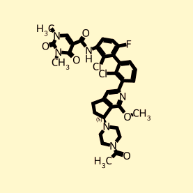 COc1nc(-c2cccc(-c3c(F)ccc(NC(=O)c4cn(C)c(=O)n(C)c4=O)c3Cl)c2Cl)cc2c1[C@@H](N1CCN(C(C)=O)CC1)CC2